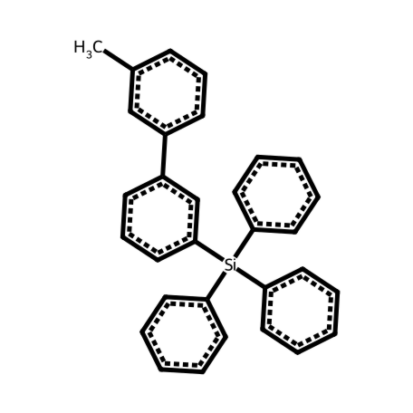 Cc1cccc(-c2cccc([Si](c3ccccc3)(c3ccccc3)c3ccccc3)c2)c1